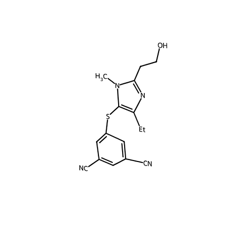 CCc1nc(CCO)n(C)c1Sc1cc(C#N)cc(C#N)c1